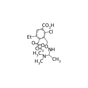 CCc1cc(C(=O)O)c(Cl)c(CONC(C)N(C)C)c1S(C)(=O)=O